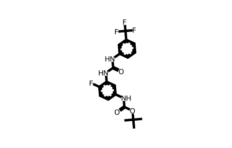 CC(C)(C)OC(=O)Nc1ccc(F)c(NC(=O)Nc2cccc(C(F)(F)F)c2)c1